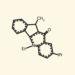 CCn1c2c(c(=O)c3cc(C(C)C)ccc31)C(C)c1ccccc1-2